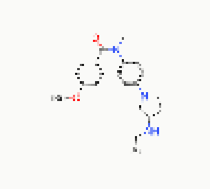 CCCCOc1ccc(C(=O)N(C)c2ccc(N3CCC(NCC(C)=O)C3)cc2)cc1